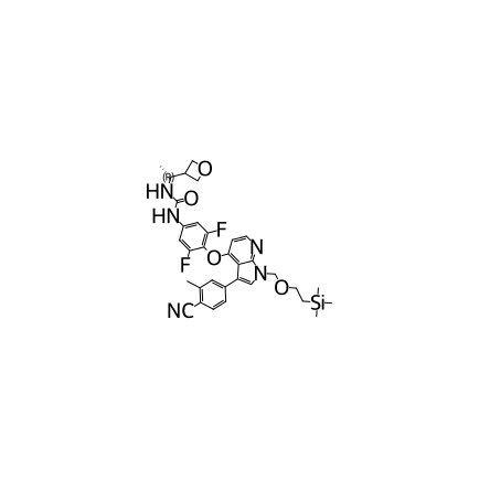 Cc1cc(-c2cn(COCC[Si](C)(C)C)c3nccc(Oc4c(F)cc(NC(=O)N[C@H](C)C5COC5)cc4F)c23)ccc1C#N